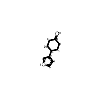 O=C1CCC(c2ccoc2)CC1